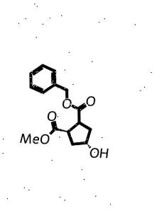 COC(=O)[C@@H]1C[C@@H](O)CC1C(=O)OCc1ccccc1